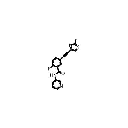 Cc1nc(C#Cc2ccc(F)c(C(=O)Nc3cccnc3)c2)cs1